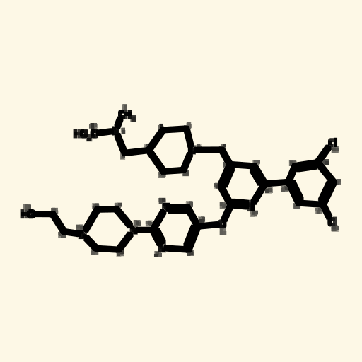 CN(CC1CCN(Cc2cc(Oc3cnc(N4CCN(CCO)CC4)nc3)nc(-c3cc(Cl)cc(Cl)c3)c2)CC1)C(=O)O